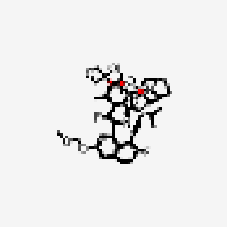 COCOc1cc(-c2ncc3c(N4CC5CCC(C4)N5C(=O)OC(C)(C)C)nc(C4(O)COC4)c(C)c3c2F)c2c(C#C[Si](C(C)C)(C(C)C)C(C)C)c(F)ccc2c1